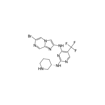 FC(F)(F)c1cnc(N[C@H]2CCCNC2)nc1Nc1cn2cc(Br)ncc2n1